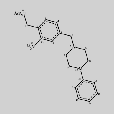 CC(=O)NCc1ccc(CN2CCN(c3ccccc3)CC2)cc1N